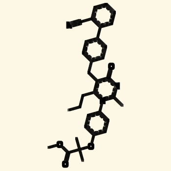 CCCc1c(Cc2ccc(-c3ccccc3C#N)cc2)c(=O)nc(C)n1-c1ccc(OC(C)(C)C(=O)OC)cc1